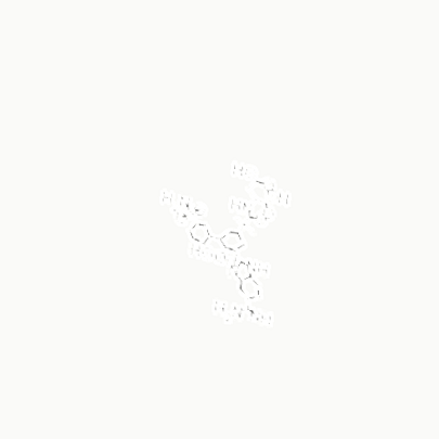 CC(C)(C(=O)NC(CC(=O)O)C(=O)O)c1cc(-c2nc3cc(C(=N)N)ccc3[nH]2)c(O)c(-c2cc(S(N)(=O)=O)ccc2O)c1